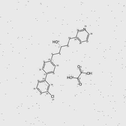 O=C(O)C(=O)O.O[C@@H](CCc1ccc(-c2cccc(Cl)c2)cc1)CCc1cccnc1